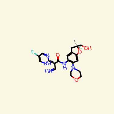 C[C@@]1(CO)Cc2cc(NC(=O)/C(C=N)=C3\N=CC(F)=CN3)c(N3CCOCC3)cc2O1